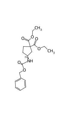 CCOC(=O)C1(C(=O)OCC)CC[C@H](NC(=O)OCc2ccccc2)C1